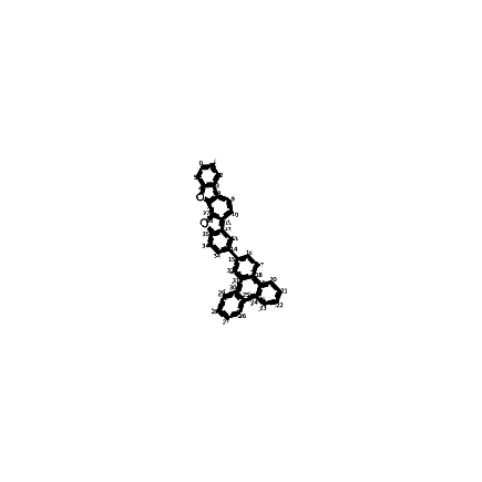 c1ccc2c(c1)oc1c2ccc2c3cc(-c4ccc5c6ccccc6c6ccccc6c5c4)ccc3oc21